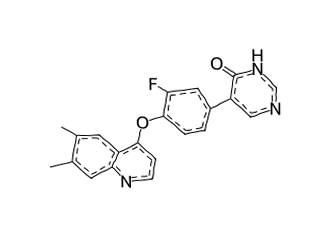 Cc1cc2nccc(Oc3ccc(-c4cnc[nH]c4=O)cc3F)c2cc1C